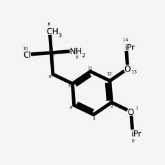 CC(C)Oc1ccc(CC(C)(N)Cl)cc1OC(C)C